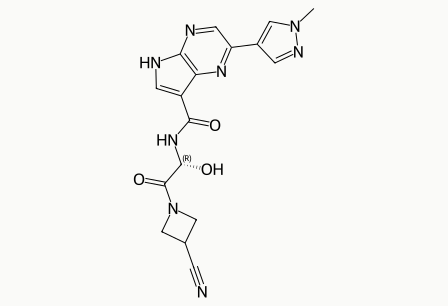 Cn1cc(-c2cnc3[nH]cc(C(=O)N[C@H](O)C(=O)N4CC(C#N)C4)c3n2)cn1